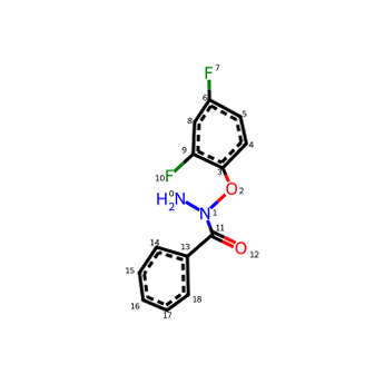 NN(Oc1ccc(F)cc1F)C(=O)c1ccccc1